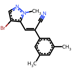 Cc1cc(C)cc(/C(C#N)=C/c2c(Br)cnn2C)c1